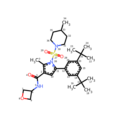 Cc1c(C(=O)NC2COC2)cc(-c2cc(C(C)(C)C)cc(C(C)(C)C)c2)n1S(=O)(=O)N1CCC(C)CC1